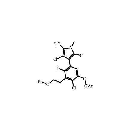 CCOCCc1c(F)c(-c2c(Cl)c(C(F)(F)F)n(C)c2Cl)cc(OOC(C)=O)c1Cl